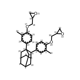 Cc1cc(C2C3CC4CC(C3)CC2(c2ccc(OCC3CO3)c(C)c2)C4)ccc1OCC1CO1